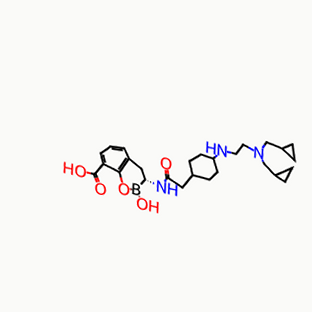 O=C(CC1CCC(NCCN(CC2CC2)CC2CC2)CC1)N[C@H]1Cc2cccc(C(=O)O)c2OB1O